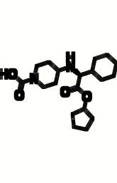 O=C(OC1CCCC1)[C@@H](NC1CCN(C(=O)O)CC1)C1CCCCC1